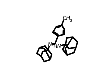 Cc1ccc(C(=NC23CC4CC(CC(C4)C2)C3)NC23CC4CC(CC(C4)C2)C3)cc1